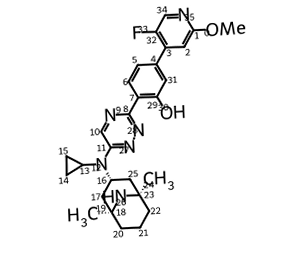 COc1cc(-c2ccc(-c3ncc(N(C4CC4)[C@H]4C[C@]5(C)CCC[C@](C)(C4)N5)nn3)c(O)c2)c(F)cn1